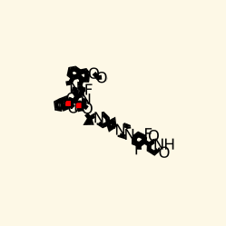 CCc1cccc2cc(OCOC)cc(-c3ncc4c(N5CC6CCC(C5)N6C(=O)OC(C)(C)C)nc(OCC5(CN6CCC7(CC6)CC(N6CCN(c8cc(F)c(C9CCC(=O)NC9=O)c(F)c8)CC6)C7)CC5)nc4c3F)c12